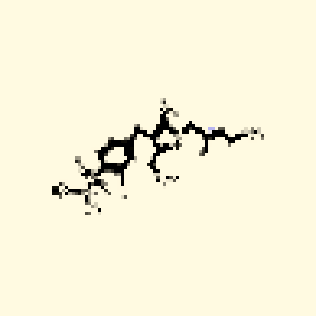 COCc1nn(C/C(F)=C/CN)c(C)c1Cc1ccc(S(=O)(=O)N(C)C)c(Cl)c1